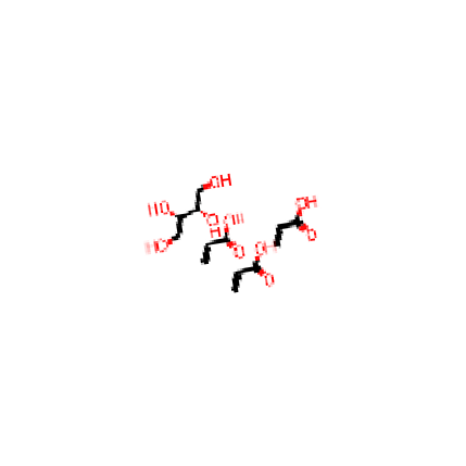 C=CC(=O)O.C=CC(=O)O.C=CC(=O)O.OC[C@@H](O)[C@H](O)CO